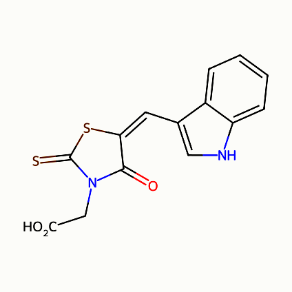 O=C(O)CN1C(=O)C(=Cc2c[nH]c3ccccc23)SC1=S